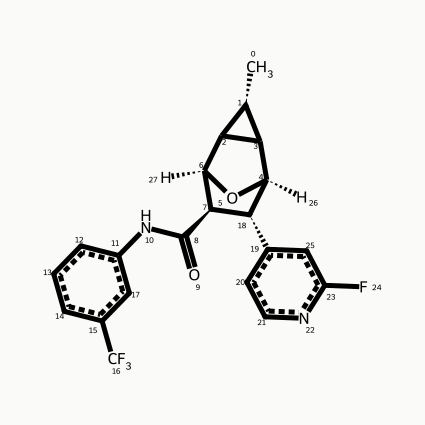 C[C@H]1C2C1[C@@H]1O[C@H]2[C@H](C(=O)Nc2cccc(C(F)(F)F)c2)[C@H]1c1ccnc(F)c1